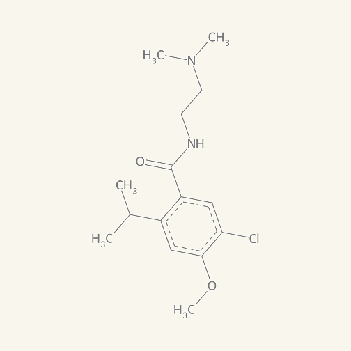 COc1cc(C(C)C)c(C(=O)NCCN(C)C)cc1Cl